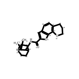 CC1(C)C(NC(=O)c2cc3ccc4c(c3s2)OCCC4)C2CCN1CC2